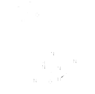 O=C(Nc1ccccn1)N1c2nc(-c3ccc4c(c3)OC(F)(F)O4)ccc2N2CC[C@H]1C2